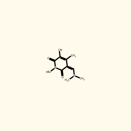 CCCCN1C(=O)C(C#N)=C(C)/C(=C/N(C)C)C1=O